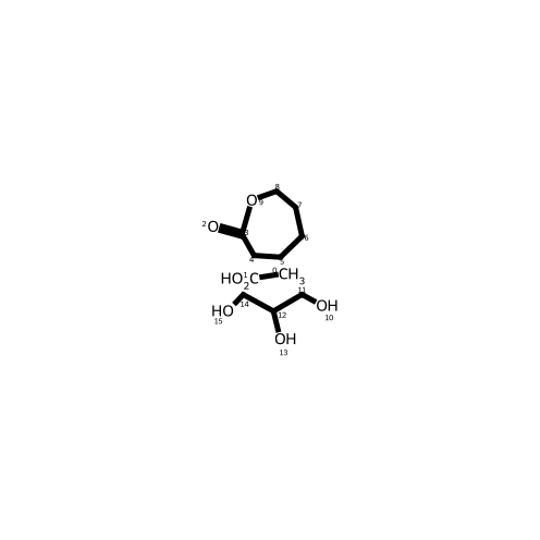 CC(=O)O.O=C1CCCCCO1.OCC(O)CO